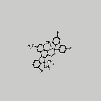 Cc1cc(C(F)(F)F)c2c3c(c4c(c2c1)-c1cccc(Br)c1C4(C)C)C=CC(c1ccc(F)cc1)(c1ccc(F)cc1)O3